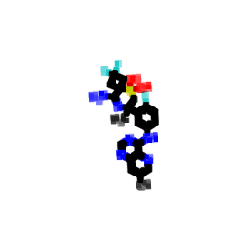 CC1(c2cc(Nc3ncnc4cc(C#N)cnc34)ccc2F)CS(O)(O)C2(CC(F)(F)C2)C(N)=N1